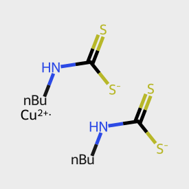 CCCCNC(=S)[S-].CCCCNC(=S)[S-].[Cu+2]